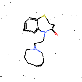 O=C1CCSc2ccccc2N1CCN1CCCCCC1